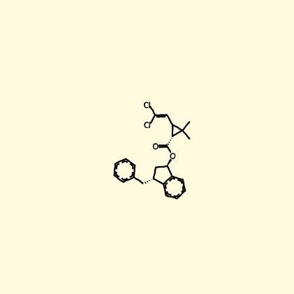 CC1(C)C(C=C(Cl)Cl)[C@H]1C(=O)O[C@@H]1C[C@@H](Cc2ccccc2)c2ccccc21